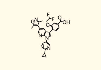 Cc1noc(C)c1-c1cnc2c(c1)c(-c1ccc(C(=O)O)cc1OCC(F)F)cn2-c1cnc(C2CC2)nc1